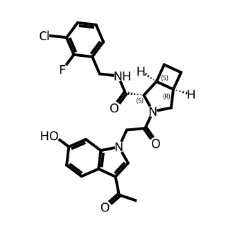 CC(=O)c1cn(CC(=O)N2C[C@@H]3CC[C@@H]3[C@H]2C(=O)NCc2cccc(Cl)c2F)c2cc(O)ccc12